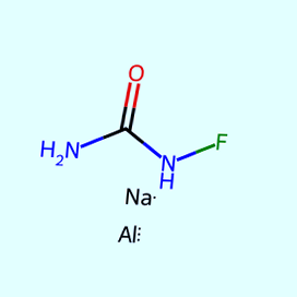 NC(=O)NF.[Al].[Na]